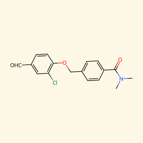 CN(C)C(=O)c1ccc(COc2ccc(C=O)cc2Cl)cc1